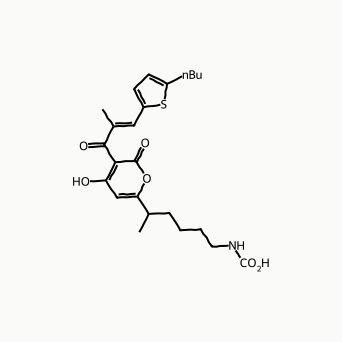 CCCCc1ccc(C=C(C)C(=O)c2c(O)cc(C(C)CCCCNC(=O)O)oc2=O)s1